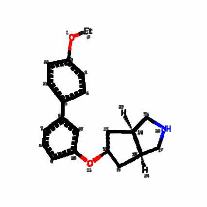 CCOc1ccc(-c2cccc(O[C@H]3C[C@H]4CNC[C@H]4C3)c2)cc1